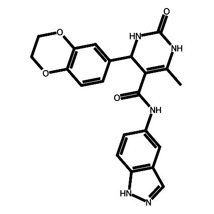 CC1=C(C(=O)Nc2ccc3[nH]ncc3c2)C(c2ccc3c(c2)OCCO3)NC(=O)N1